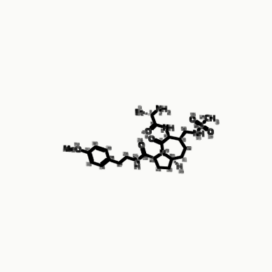 CC[C@H](N)C(=O)N[C@@H]1C(=O)N2[C@@H](CC[C@@H]1CNS(C)(=O)=O)CC[C@H]2C(=O)NCCc1ccc(OC)cc1